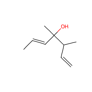 C=CC(C)C(C)(O)/C=C/C